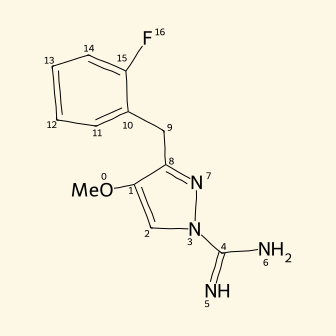 COc1cn(C(=N)N)nc1Cc1ccccc1F